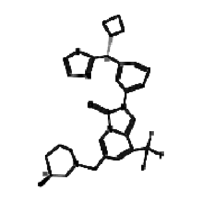 C[C@H]1CCCN(Cc2cc(C(F)(F)F)c3cn(-c4cccc([C@H](c5nccs5)C5CCC5)c4)c(=O)n3c2)C1